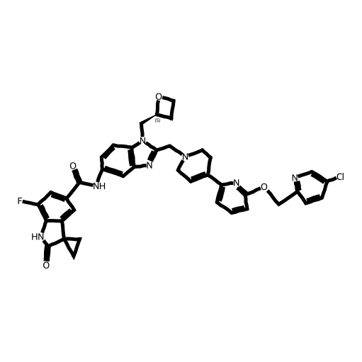 O=C(Nc1ccc2c(c1)nc(CN1CC=C(c3cccc(OCc4ccc(Cl)cn4)n3)CC1)n2C[C@@H]1CCO1)c1cc(F)c2c(c1)C1(CC1)C(=O)N2